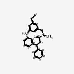 CN(Cc1cc(CF)cc(C(F)(F)F)c1)C(=O)CC(c1ccccc1)c1ccccc1